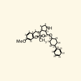 COc1ccc(CN(C2CCNC2COC2CCC(c3ccccc3)CC2)S(C)(=O)=O)cc1